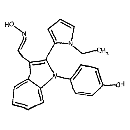 CCn1cccc1-c1c(C=NO)c2ccccc2n1-c1ccc(O)cc1